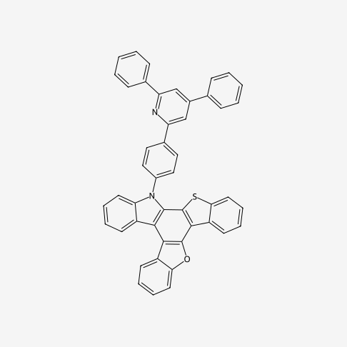 c1ccc(-c2cc(-c3ccccc3)nc(-c3ccc(-n4c5ccccc5c5c6c7ccccc7oc6c6c7ccccc7sc6c54)cc3)c2)cc1